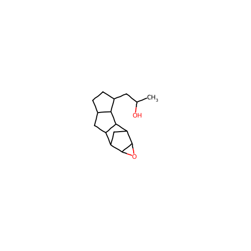 CC(O)CC1CCC2CC3C4CC(C5OC45)C3C12